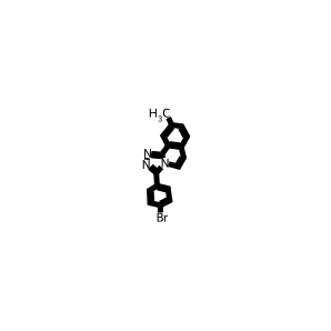 Cc1ccc2ccn3c(-c4ccc(Br)cc4)nnc3c2c1